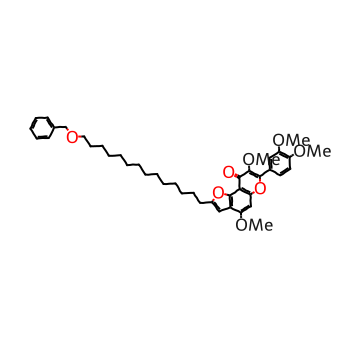 COc1ccc(-c2oc3cc(OC)c4cc(CCCCCCCCCCCCCCOCc5ccccc5)oc4c3c(=O)c2OC)cc1OC